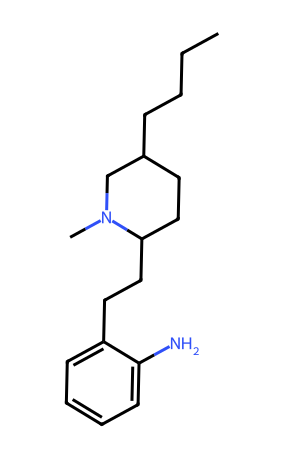 CCCCC1CCC(CCc2ccccc2N)N(C)C1